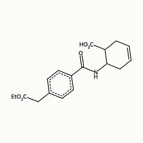 CCOC(=O)Cc1ccc(C(=O)NC2CC=CCC2C(=O)O)cc1